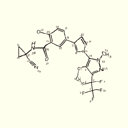 COc1c(C(F)(F)C(F)(F)F)nn(C)c1-n1cc(-c2ccc(Cl)c(C(=O)NC3(C#N)CC3)c2)cn1